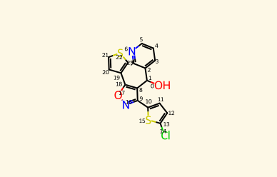 OC(c1cccnc1)c1c(-c2ccc(Cl)s2)noc1-c1ccsc1